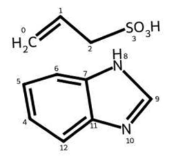 C=CCS(=O)(=O)O.c1ccc2[nH]cnc2c1